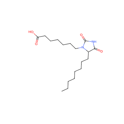 CCCCCCCCC1C(=O)NC(=O)N1CCCCCCC(=O)O